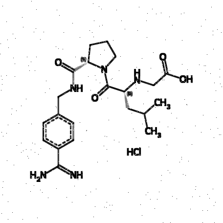 CC(C)C[C@@H](NCC(=O)O)C(=O)N1CCC[C@H]1C(=O)NCc1ccc(C(=N)N)cc1.Cl